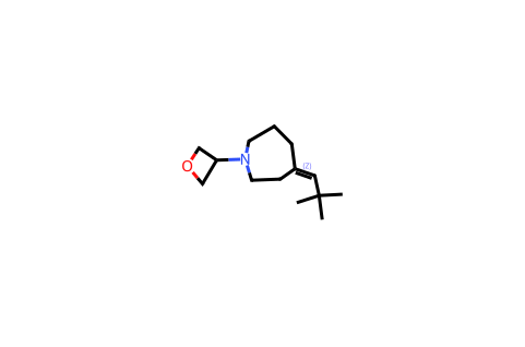 CC(C)(C)/C=C1/CCCN(C2COC2)CC1